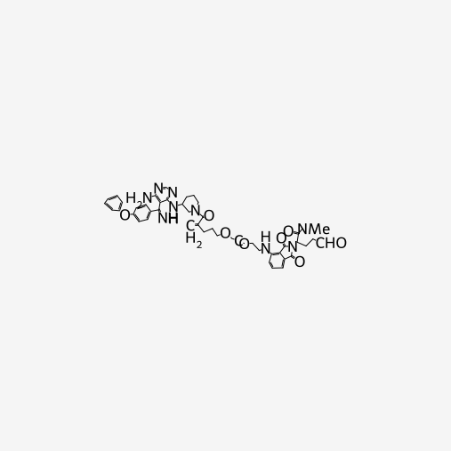 C=C(CCCOCCOCCNc1cccc2c1C(=O)N(C(CCC=O)C(=O)NC)C2=O)C(=O)N1CCCC(Nc2ncnc(N)c2C(=N)c2ccc(Oc3ccccc3)cc2)C1